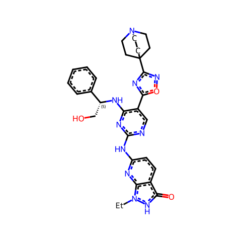 CCn1[nH]c(=O)c2ccc(Nc3ncc(-c4nc(C56CCN(CC5)CC6)no4)c(N[C@H](CO)c4ccccc4)n3)nc21